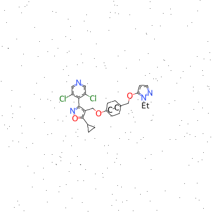 CCn1nccc1OCC12CCC(OCc3c(-c4c(Cl)cncc4Cl)noc3C3CC3)(CC1)CC2